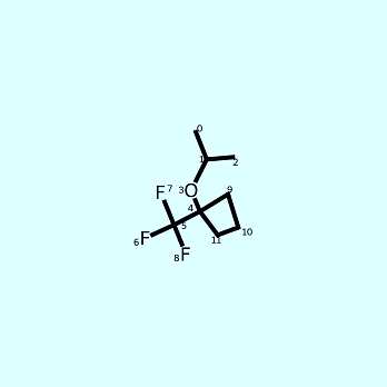 CC(C)OC1(C(F)(F)F)CCC1